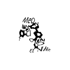 CCC(Cn1cnc2ccc(-c3cnc(OC)c(NS(=O)(=O)c4ccc(F)cc4Cl)c3)cc2c1=O)C(=O)NC